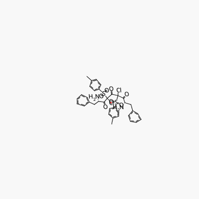 Cc1ccc(S(=O)(=O)C(Cl)(C(=O)[C@@H](N)Cc2ccccc2)C(=O)C(Cl)(C(=O)[C@@H](N)Cc2ccccc2)S(=O)(=O)c2ccc(C)cc2)cc1